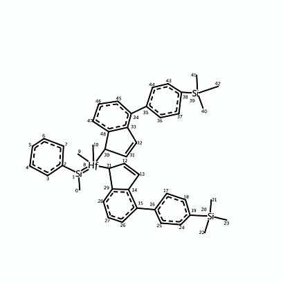 C[Si](c1ccccc1)=[Hf]([CH3])([CH3])([CH]1C=Cc2c(-c3ccc([Si](C)(C)C)cc3)cccc21)[CH]1C=Cc2c(-c3ccc([Si](C)(C)C)cc3)cccc21